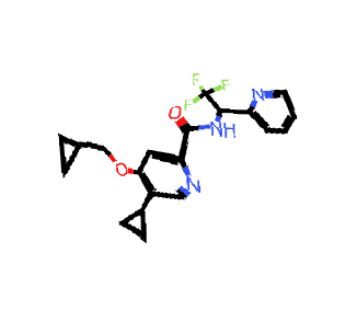 O=C(NC(c1ccccn1)C(F)(F)F)c1cc(OCC2CC2)c(C2CC2)cn1